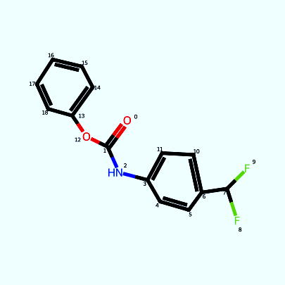 O=C(Nc1ccc(C(F)F)cc1)Oc1ccccc1